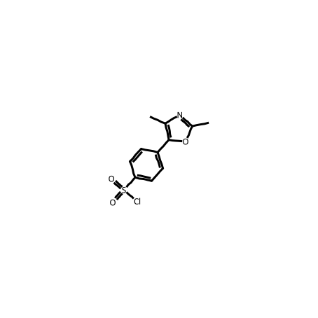 Cc1nc(C)c(-c2ccc(S(=O)(=O)Cl)cc2)o1